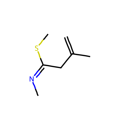 C=C(C)C/C(=N\C)SC